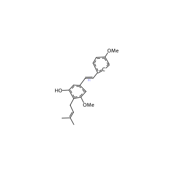 COc1ccc(/C=C/c2cc(O)c(CC=C(C)C)c(OC)c2)cc1